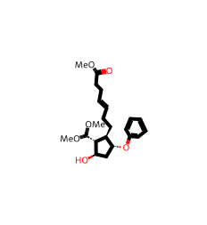 COC(=O)CCC=CCC[C@@H]1[C@@H](C(OC)OC)[C@H](O)C[C@H]1Oc1ccccc1